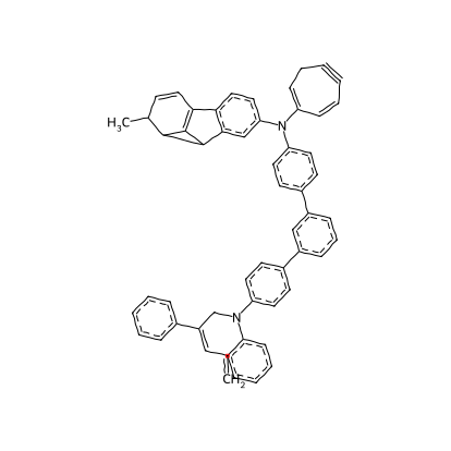 C=C/C=C(\CN(c1ccccc1)c1ccc(-c2cccc(-c3ccc(N(C4=CCC#CC=C4)c4ccc5c(c4)C4C6=C5C=CC(C)C64)cc3)c2)cc1)c1ccccc1